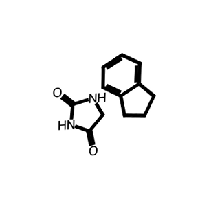 O=C1CNC(=O)N1.c1ccc2c(c1)CCC2